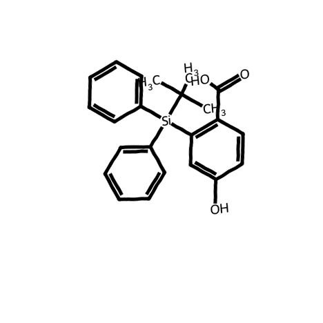 CC(C)(C)[Si](c1ccccc1)(c1ccccc1)c1cc(O)ccc1C(=O)O